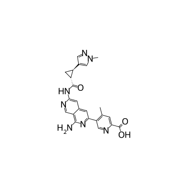 Cc1cc(C(=O)O)ncc1-c1cc2cc(NC(=O)[C@@H]3C[C@H]3c3cnn(C)c3)ncc2c(N)n1